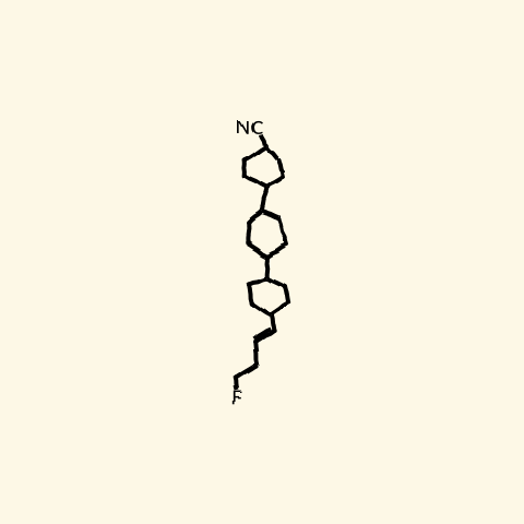 N#CC1CCC(C2CCC(C3CCC(C=CCCF)CC3)CC2)CC1